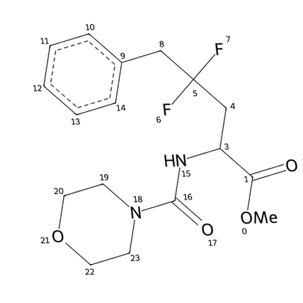 COC(=O)C(CC(F)(F)Cc1ccccc1)NC(=O)N1CCOCC1